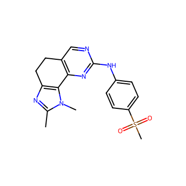 Cc1nc2c(n1C)-c1nc(Nc3ccc(S(C)(=O)=O)cc3)ncc1CC2